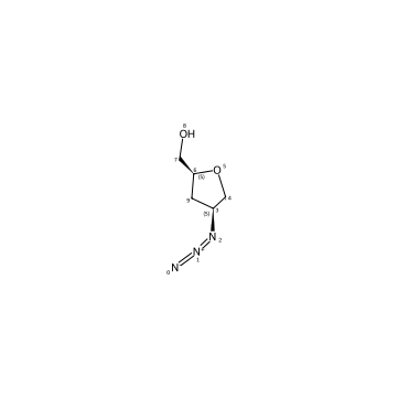 [N-]=[N+]=N[C@@H]1[CH]O[C@H](CO)C1